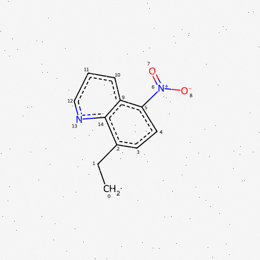 [CH2]Cc1ccc([N+](=O)[O-])c2cccnc12